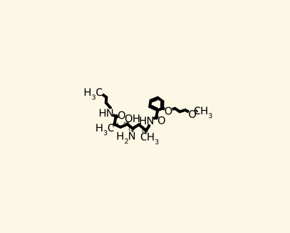 CCCCNC(=O)[C@H](C)C[C@H](O)[C@@H](N)C[C@@H](C)CNC(=O)c1ccccc1OCCCOC